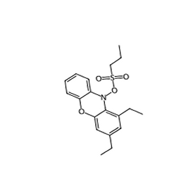 CCCS(=O)(=O)ON1c2ccccc2Oc2cc(CC)cc(CC)c21